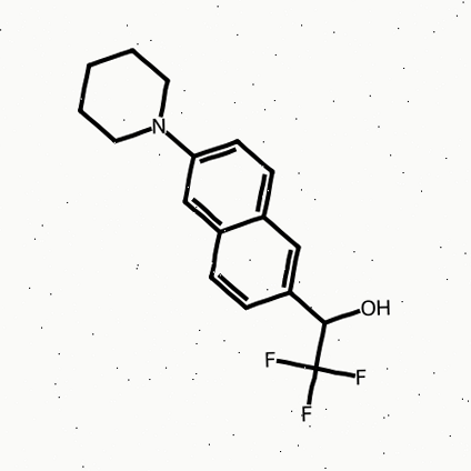 OC(c1ccc2cc(N3CCCCC3)ccc2c1)C(F)(F)F